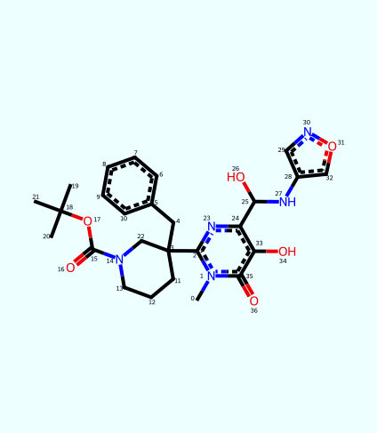 Cn1c(C2(Cc3ccccc3)CCCN(C(=O)OC(C)(C)C)C2)nc(C(O)Nc2cnoc2)c(O)c1=O